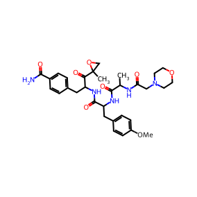 COc1ccc(CC(NC(=O)C(C)NC(=O)CN2CCOCC2)C(=O)NC(Cc2ccc(C(N)=O)cc2)C(=O)C2(C)CO2)cc1